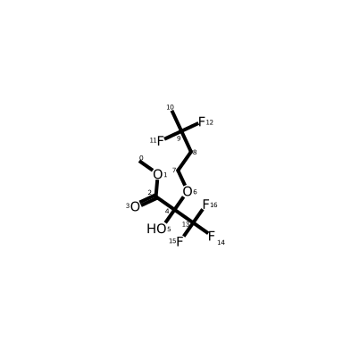 COC(=O)C(O)(OCCC(C)(F)F)C(F)(F)F